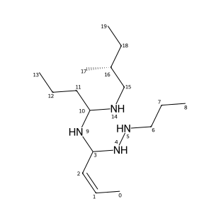 C/C=C\C(NNCCC)NC(CCC)NC[C@H](C)CC